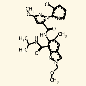 COCn1cc2cc(C)c(NC(=O)c3cc(OC)nn3-c3ncccc3Cl)c(C(=O)NC(C)C)c2n1